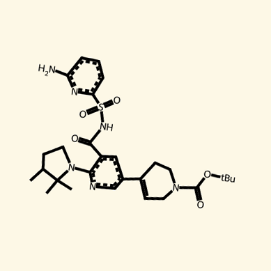 CC1CCN(c2ncc(C3=CCN(C(=O)OC(C)(C)C)CC3)cc2C(=O)NS(=O)(=O)c2cccc(N)n2)C1(C)C